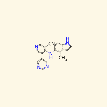 Cc1c(Nc2c(C#N)cncc2-c2cncnc2)ccc2[nH]ccc12